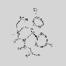 CC[C@H](C[S@+]([O-])C(C)C)N1C(=O)[C@@](C)(CC(=O)O)C[C@H](c2cccc(Cl)c2)[C@H]1c1ccc(Cl)cc1